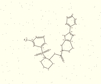 O=C(CC1CCCCN1S(=O)(=O)c1cccc(C(F)(F)F)c1)N1CCc2nc(-c3ccncc3)sc2C1